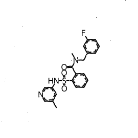 Cc1cncc(NS(=O)(=O)c2ccccc2C(=O)N(C)Cc2cccc(F)c2)c1